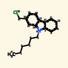 CCCCCCn1c2ccccc2c2ccc(CCl)cc21